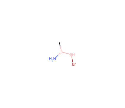 CB(N)BBr